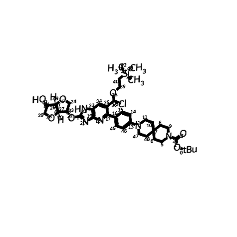 CC(C)(C)OC(=O)N1CCC2(CC1)CCN(c1ccc(-c3nc4nc(O[C@@H]5CO[C@H]6[C@@H]5OC[C@H]6O)[nH]c4cc3C(Cl)OCC[Si](C)(C)C)cc1)CC2